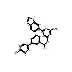 Cc1nc(NC(C)c2cccc(-c3cnc(C#N)nc3)c2)cc(-c2ccc3ncsc3c2)n1